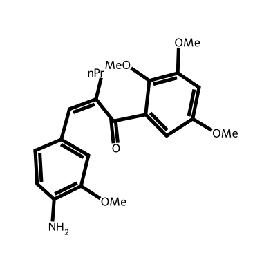 CCCC(=Cc1ccc(N)c(OC)c1)C(=O)c1cc(OC)cc(OC)c1OC